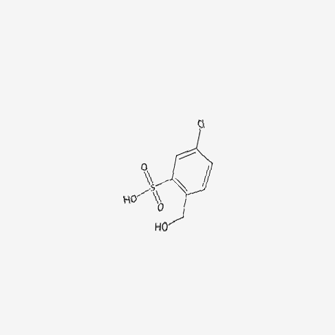 O=S(=O)(O)c1cc(Cl)ccc1CO